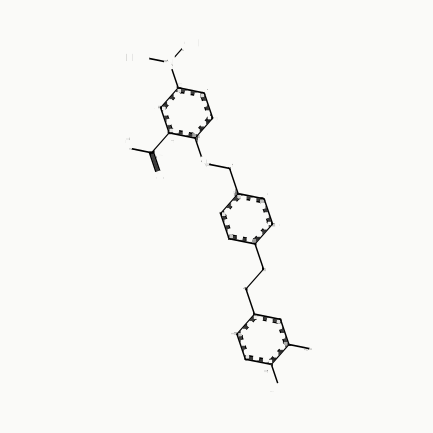 CN(C)c1ccc(NCc2ccc(CCc3ccc(Cl)c(Cl)c3)cc2)c(C(=O)O)c1